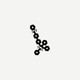 c1ccc(-c2nc(-c3ccccc3)c(-c3ccccc3)c(-c3ccc(-c4ccc(-c5nc6ccccc6s5)cc4)cc3)n2)cc1